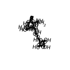 Cc1cc(C[C@H]2NC(=O)CNC(=O)[C@H](Cc3ccc4ccccc4c3)NC(=O)[C@H](CCCNC(=N)N)NC(=O)[C@@H](CCCNC(=O)CNC(=O)COCCOCCNC(=O)CN3CCN(CC(=O)O)CCN(CC(=O)O)CCN(CC(=O)O)CC3)N(C)C2=O)ccc1O